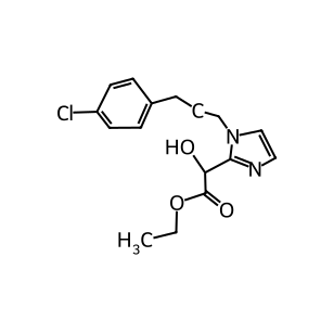 CCOC(=O)C(O)c1nccn1CCCc1ccc(Cl)cc1